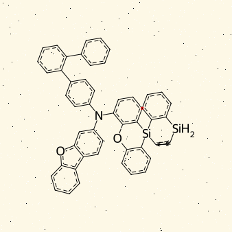 c1ccc(-c2ccccc2-c2ccc(N(c3ccc4c(c3)oc3ccccc34)c3cccc4c3Oc3ccccc3[Si]43c4ccccc4[SiH2]c4ccccc43)cc2)cc1